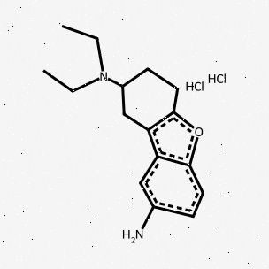 CCN(CC)C1CCc2oc3ccc(N)cc3c2C1.Cl.Cl